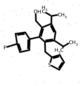 CC(C)c1cc(C(C)C)c(Cc2cccs2)c(-c2ccc(F)cc2)c1CO